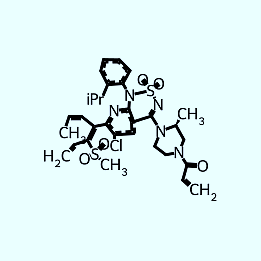 C=CC(=O)N1CCN(C2=NS(=O)(=O)N(c3ccccc3C(C)C)c3nc(C(/C=C\C)=C(/C=C)S(C)(=O)=O)c(Cl)cc32)[C@@H](C)C1